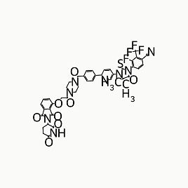 CC1(C)C(=O)N(c2ccc(C#N)c(C(F)(F)F)c2F)C(=S)N1c1ccc(-c2ccc(C(=O)N3CCN(C(=O)COc4cccc5c4C(=O)N(C4CCC(=O)NC4=O)C5=O)CC3)cc2)nc1